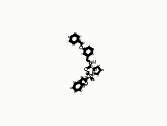 O=C(NCc1cccc(OCc2ccccc2)c1)[C@@H]1CCCN1S(=O)(=O)c1cc2ccccc2o1